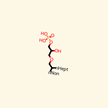 CCCCCCCCCC(CCCCCCC)COCC(O)COP(=O)(O)O